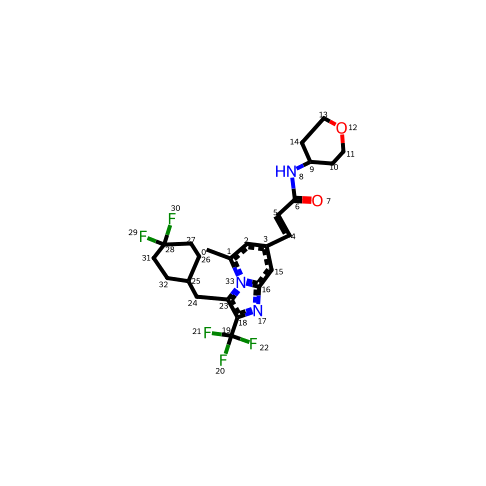 Cc1cc(/C=C/C(=O)NC2CCOCC2)cc2nc(C(F)(F)F)c(CC3CCC(F)(F)CC3)n12